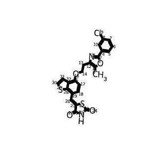 Cc1oc(-c2cccc(Cl)c2)nc1CCOc1ccc(C=C2SC(=O)NC2=O)c2sccc12